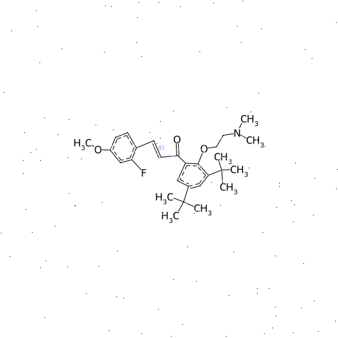 COc1ccc(/C=C/C(=O)c2cc(C(C)(C)C)cc(C(C)(C)C)c2OCCN(C)C)c(F)c1